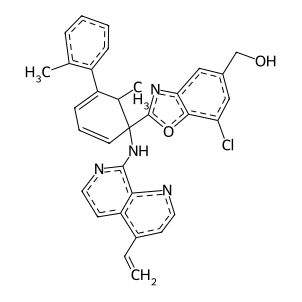 C=Cc1ccnc2c(NC3(c4nc5cc(CO)cc(Cl)c5o4)C=CC=C(c4ccccc4C)C3C)nccc12